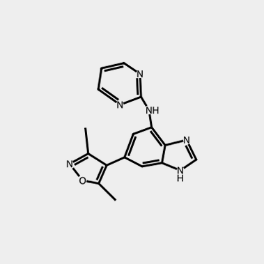 Cc1noc(C)c1-c1cc(Nc2ncccn2)c2nc[nH]c2c1